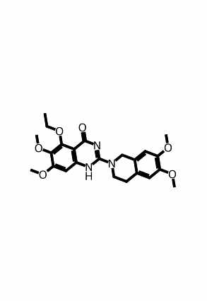 CCOc1c(OC)c(OC)cc2[nH]c(N3CCc4cc(OC)c(OC)cc4C3)nc(=O)c12